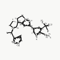 CC(c1cc[nH]n1)N1CC[C@@]2(CCn3nc(-c4cnc(N)c(C(F)(F)F)c4)cc32)C1